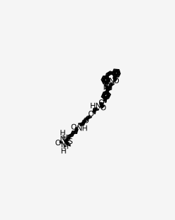 O=C(CCCCC1SC[C@@H]2NC(=O)N[C@H]12)NCCCOCCOCCCNC(=O)OCc1ccc(C2=NOC(CN3C(=O)c4ccccc4/C=C\c4ccccc43)C2)cc1